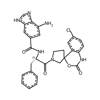 Nc1cc(C(=O)N[C@@H](Cc2ccccc2)C(=O)N2CCC3(C2)OC(=O)Nc2ccc(Cl)cc23)cc2[nH]cnc12